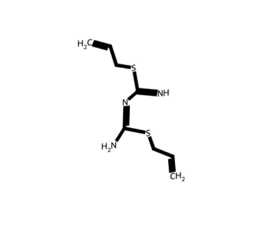 C=CCSC(=N)N=C(N)SCC=C